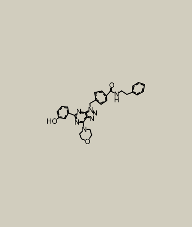 O=C(NCCc1ccccc1)c1ccc(Cn2nnc3c(N4CCOCC4)nc(-c4cccc(O)c4)nc32)cc1